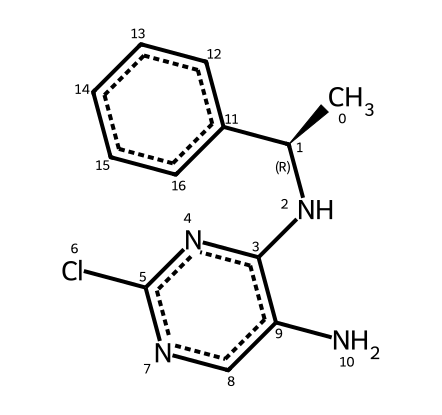 C[C@@H](Nc1nc(Cl)ncc1N)c1ccccc1